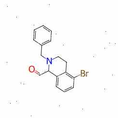 O=CC1c2cccc(Br)c2CCN1Cc1ccccc1